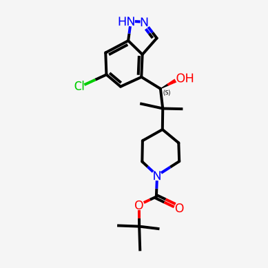 CC(C)(C)OC(=O)N1CCC(C(C)(C)[C@H](O)c2cc(Cl)cc3[nH]ncc23)CC1